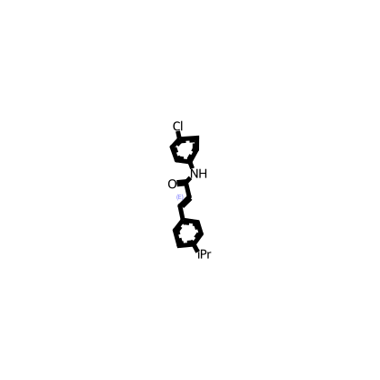 CC(C)c1ccc(/C=C/C(=O)Nc2ccc(Cl)cc2)cc1